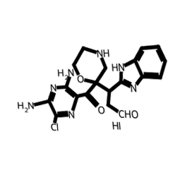 I.Nc1nc(N)c(C(=O)C2(C(CC=O)c3nc4ccccc4[nH]3)CNCCO2)nc1Cl